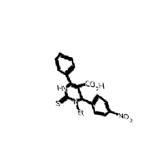 CCN1C(=S)NC(c2ccccc2)=C(C(=O)O)C1c1ccc([N+](=O)[O-])cc1